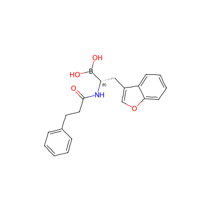 O=C(CCc1ccccc1)N[C@@H](Cc1coc2ccccc12)B(O)O